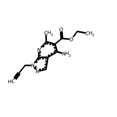 C#CCn1ncc2c(N)c(C(=O)OCC)c(C)nc21